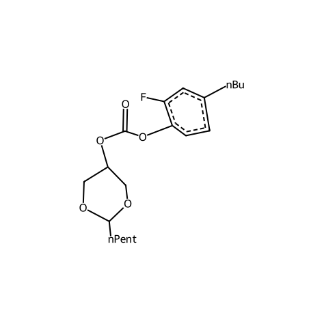 CCCCCC1OCC(OC(=O)Oc2ccc(CCCC)cc2F)CO1